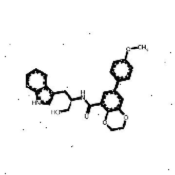 COc1ccc(-c2cc3c(c(C(=O)N[C@@H](CO)Cc4c[nH]c5ccccc45)c2)OCCO3)cc1